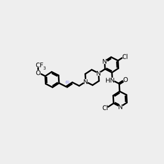 O=C(Nc1cc(Cl)cnc1N1CCN(C/C=C/c2ccc(OC(F)(F)F)cc2)CC1)c1ccnc(Cl)c1